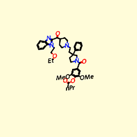 CCCC(=O)Oc1c(OC)cc(C(=O)N2CCC(CCN3CCC(C(=O)c4nc5ccccc5n4CCOCC)CC3)(c3ccccc3)C2)cc1OC